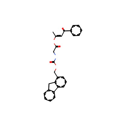 CC(=CC(=O)c1ccccc1)OC(=O)CNC(=O)OCc1cccc2c1Cc1ccccc1-2